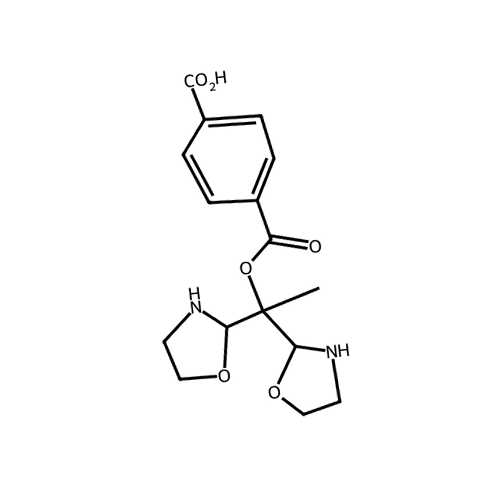 CC(OC(=O)c1ccc(C(=O)O)cc1)(C1NCCO1)C1NCCO1